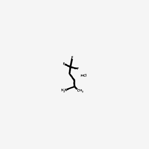 CC(N)CCC(F)(F)F.Cl